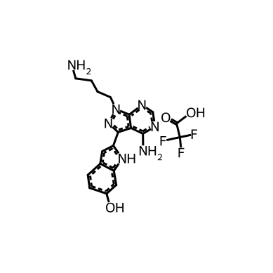 NCCCCn1nc(-c2cc3ccc(O)cc3[nH]2)c2c(N)ncnc21.O=C(O)C(F)(F)F